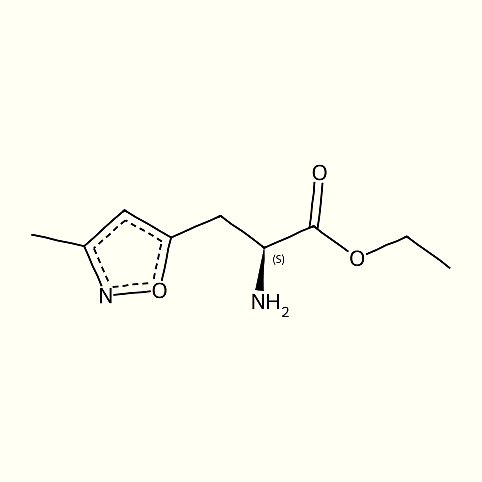 CCOC(=O)[C@@H](N)Cc1cc(C)no1